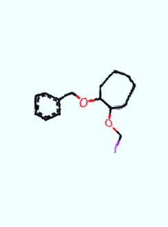 ICOC1CCCCCC1OCc1ccccc1